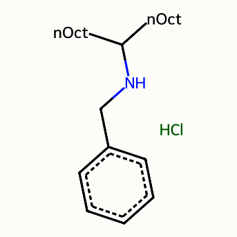 CCCCCCCCC(CCCCCCCC)NCc1ccccc1.Cl